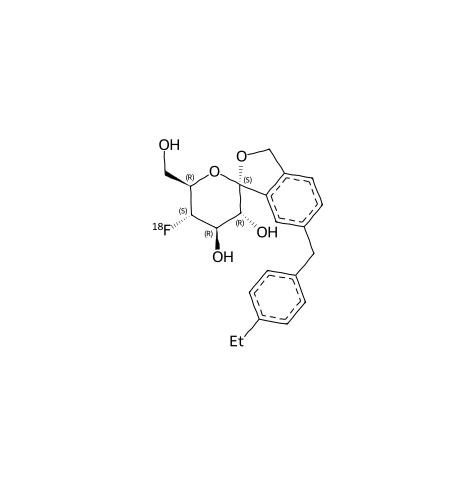 CCc1ccc(Cc2ccc3c(c2)[C@]2(OC3)O[C@H](CO)[C@@H]([18F])[C@H](O)[C@H]2O)cc1